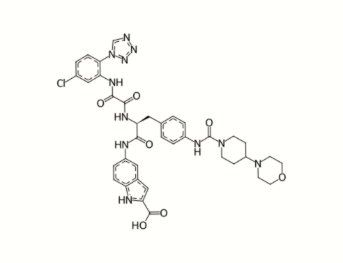 O=C(Nc1cc(Cl)ccc1-n1cnnn1)C(=O)N[C@@H](Cc1ccc(NC(=O)N2CCC(N3CCOCC3)CC2)cc1)C(=O)Nc1ccc2[nH]c(C(=O)O)cc2c1